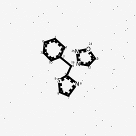 c1ccc(Cc2nccs2)cc1.c1conn1